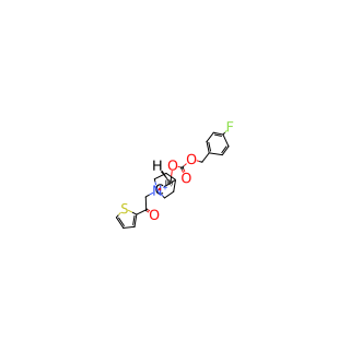 O=C(OCc1ccc(F)cc1)O[C@H]1C[N+]2(CC(=O)c3cccs3)CCC1CC2